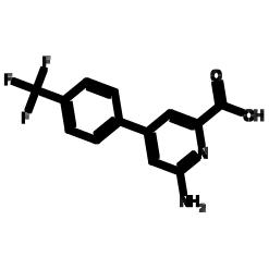 Nc1cc(-c2ccc(C(F)(F)F)cc2)cc(C(=O)O)n1